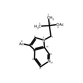 CC(=O)OC(C)(C)Cn1cc(C(C)=O)c2ccncc21